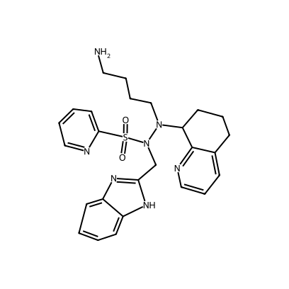 NCCCCN(C1CCCc2cccnc21)N(Cc1nc2ccccc2[nH]1)S(=O)(=O)c1ccccn1